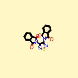 O=C1c2ccccc2C(=O)N1c1nsnc1N1C(=O)c2ccccc2C1=O